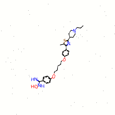 CCCN1CCC(c2nc(-c3ccc(OCCCCCOc4ccc(C(=N)NO)cc4)cc3)c(C)s2)CC1